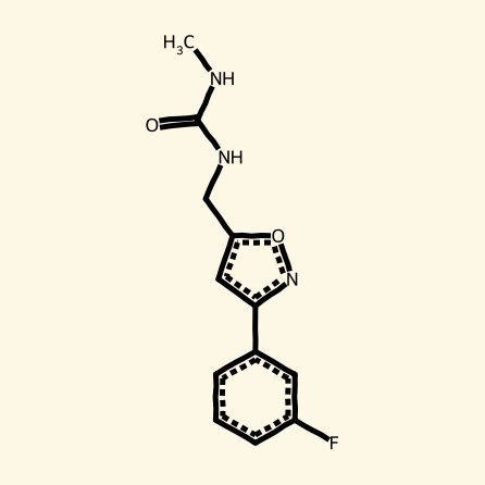 CNC(=O)NCc1cc(-c2cccc(F)c2)no1